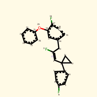 F/C(=C/C1(c2ccc(F)cc2)CC1)Cc1ccc(F)c(Oc2ccccc2)c1